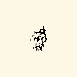 N#Cc1cc(F)cc(CN2CCN(C(=O)OC(C(F)(F)F)C(F)(F)F)CC2)c1OCC1(C(O)O)CC1